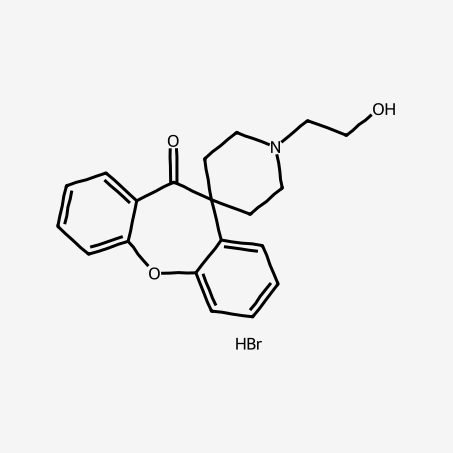 Br.O=C1c2ccccc2Oc2ccccc2C12CCN(CCO)CC2